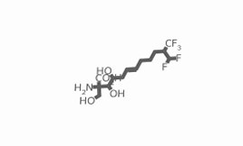 NC(CO)(C(=O)O)C(O)C(O)C/C=C/CCCC(C(F)F)C(F)(F)F